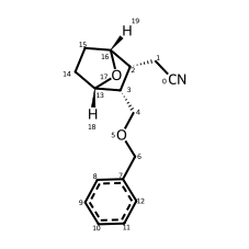 N#CC[C@@H]1[C@H](COCc2ccccc2)[C@@H]2CC[C@H]1O2